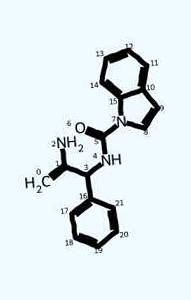 C=C(N)C(NC(=O)n1ccc2ccccc21)c1ccccc1